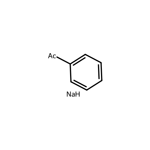 CC(=O)c1ccccc1.[NaH]